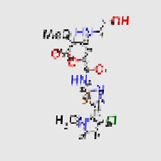 COc1c(NCCO)cc(C(=O)Nc2nnc(-c3c(Cl)ccn3C)s2)oc1=O